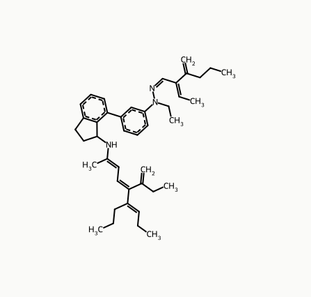 C=C(CCC)C(/C=N\N(CC)c1cccc(-c2cccc3c2C(N/C(C)=C/C=C(C(=C)CC)/C(=C/CC)CCC)CC3)c1)=C\C